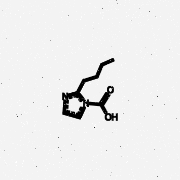 CCCCc1nccn1C(=O)O